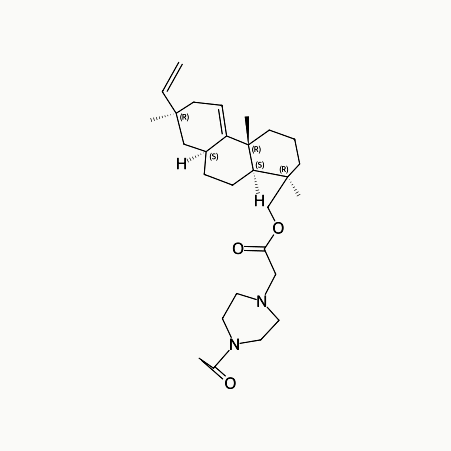 C=C[C@@]1(C)CC=C2[C@@H](CC[C@@H]3[C@](C)(COC(=O)CN4CCN(C(C)=O)CC4)CCC[C@@]23C)C1